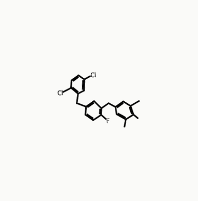 Cc1cc(Cc2cc(Cc3cc(Cl)ccc3Cl)ccc2F)cc(C)c1C